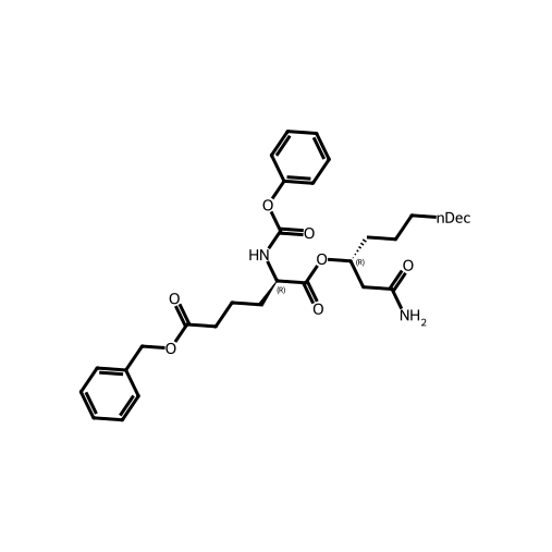 CCCCCCCCCCCCC[C@H](CC(N)=O)OC(=O)[C@@H](CCCC(=O)OCc1ccccc1)NC(=O)Oc1ccccc1